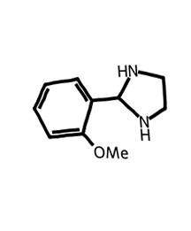 COc1ccccc1C1NCCN1